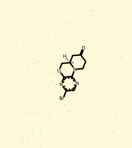 O=C1CCN2c3ncc(Br)nc3OC[C@H]2C1